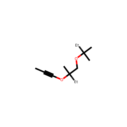 CC#COC(C)(CC)COC(C)(C)CC